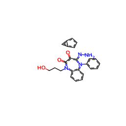 NN=c1c(=O)c(=O)n(CCCO)c2ccccc2n1-c1ccccc1.c1cc2cc-2c1